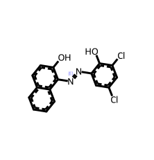 Oc1ccc2ccccc2c1/N=N/c1cc(Cl)cc(Cl)c1O